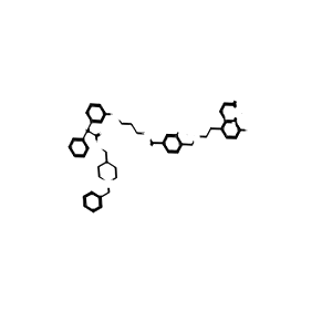 O=C(NCCCOc1cccc([C@](O)(C(=O)OCC2CCN(Cc3ccccc3)CC2)c2ccccc2)c1)c1ccc(CNC[C@H](O)c2ccc(O)c3[nH]c(=O)ccc23)c(C(F)(F)F)c1